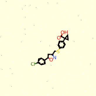 O=C(O)C1(c2ccc(SCC3=NOC(c4ccc(Cl)cc4)C3)cc2)CC1